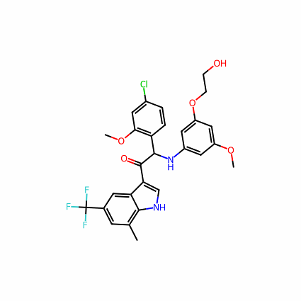 COc1cc(NC(C(=O)c2c[nH]c3c(C)cc(C(F)(F)F)cc23)c2ccc(Cl)cc2OC)cc(OCCO)c1